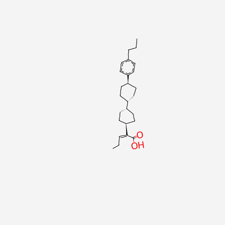 CCC=C(C(=O)O)[C@H]1CC[C@H]([C@H]2CC[C@H](c3ccc(CCC)cc3)CC2)CC1